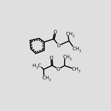 CC(C)OC(=O)C(C)C.CC(C)OC(=O)c1ccccc1